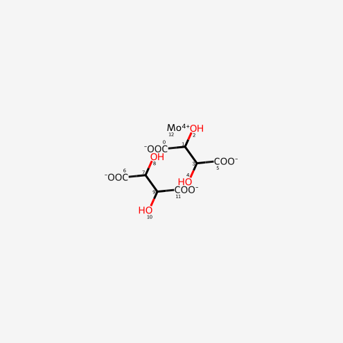 O=C([O-])C(O)C(O)C(=O)[O-].O=C([O-])C(O)C(O)C(=O)[O-].[Mo+4]